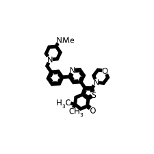 CNC1CCN(Cc2cccc(-c3cc(-c4c(N5CCOCC5)sc5c4CC(C)(C)CC5=O)ccn3)c2)CC1